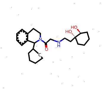 O=C(CNCC[C@]1(O)CCCC[C@@H]1O)N1CCc2ccccc2C1C1CCCCC1